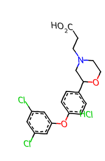 Cl.O=C(O)CCN1CCOC(c2ccc(Oc3cc(Cl)cc(Cl)c3)cc2)C1